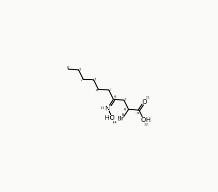 CCCCCCC(CC(Br)C(=O)O)=NO